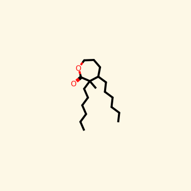 CCCCCCC1CCCOC(=O)C1(C)CCCCCC